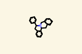 c1ccc(C2Cc3ccccc3C3Cc4ccccc4CN23)cc1